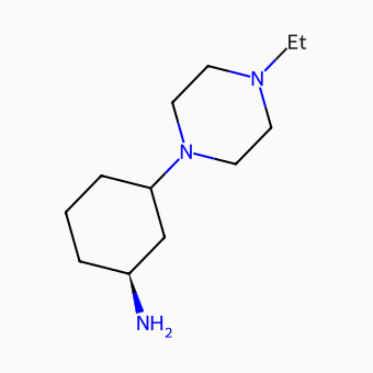 CCN1CCN(C2CCC[C@H](N)C2)CC1